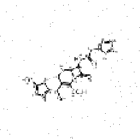 Cc1nnc(C(S)C2=C(C(=O)O)N3C(=O)C(NC(=O)Cn4cnnn4)C3SC2)s1